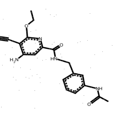 CCOc1nc(C(=O)NCc2cccc(NC(C)=O)c2)cc(N)c1C#N